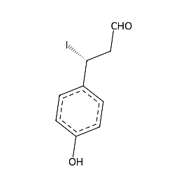 O=CC[C@@H](I)c1ccc(O)cc1